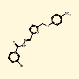 O=C(N/N=C/c1ccc(COc2ccc([N+](=O)[O-])cc2)o1)c1cccc(Br)c1